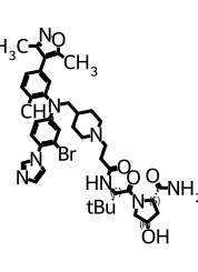 Cc1ccc(-c2c(C)noc2C)cc1N(CC1CCN(CCC(=O)N[C@H](C(=O)N2C[C@H](O)C[C@H]2C(N)=O)C(C)(C)C)CC1)c1ccc(-n2ccnc2)c(Br)c1